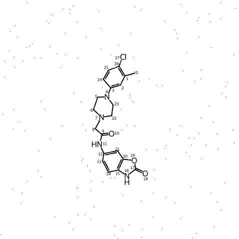 Cc1cc(N2CCN(CC(=O)Nc3ccc4[nH]c(=O)oc4c3)CC2)ccc1Cl